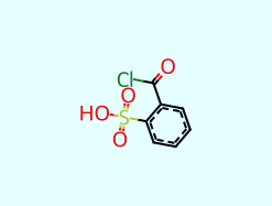 O=C(Cl)c1ccccc1S(=O)(=O)O